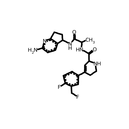 CC(NC(=O)C1C=C(c2ccc(F)c(CF)c2)CCN1)C(=O)NC1CCc2nc(N)ccc21